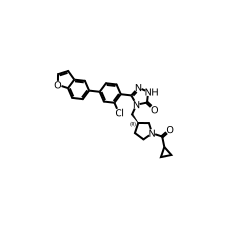 O=C(C1CC1)N1CC[C@@H](Cn2c(-c3ccc(-c4ccc5occc5c4)cc3Cl)n[nH]c2=O)C1